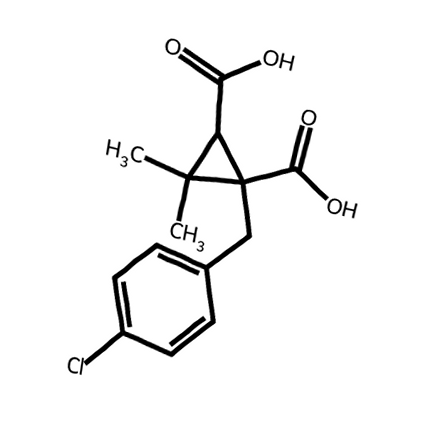 CC1(C)C(C(=O)O)C1(Cc1ccc(Cl)cc1)C(=O)O